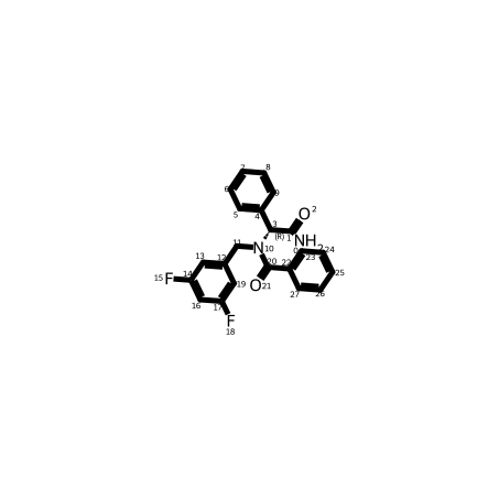 NC(=O)[C@@H](c1ccccc1)N(Cc1cc(F)cc(F)c1)C(=O)c1ccccc1